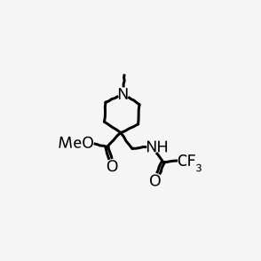 COC(=O)C1(CNC(=O)C(F)(F)F)CCN(C)CC1